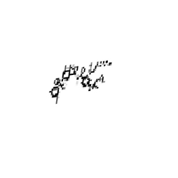 COCCNc1cc(N(C)C(C)CN(C)C)ccc1C(=O)Nc1n[nH]c2ccc(S(=O)(=O)c3cccc(F)c3)cc12